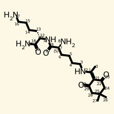 CC(NCCCC[C@H](N)C(=O)N[C@@H](CCCCN)C(N)=O)=C1C(=O)CC(C)(C)CC1=O